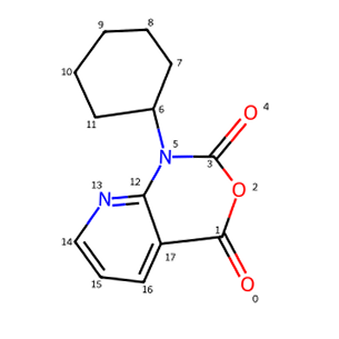 O=c1oc(=O)n(C2CCCCC2)c2ncccc12